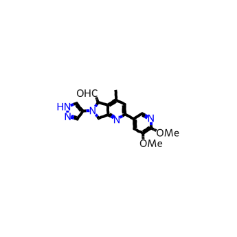 COc1cc(-c2cc(C)c3c(n2)CN(c2cn[nH]c2)C3C=O)cnc1OC